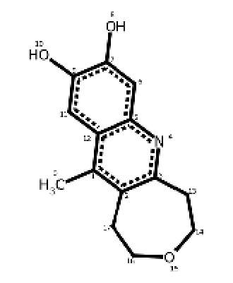 Cc1c2c(nc3cc(O)c(O)cc13)CCOCC2